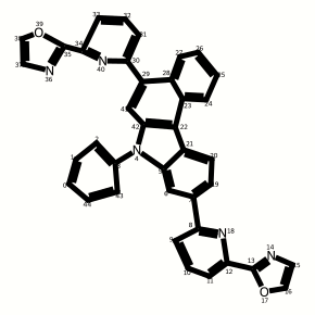 c1ccc(-n2c3cc(-c4cccc(-c5ncco5)n4)ccc3c3c4ccccc4c(-c4cccc(-c5ncco5)n4)cc32)cc1